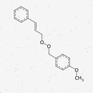 COc1ccc(COOC/C=C/c2ccccc2)cc1